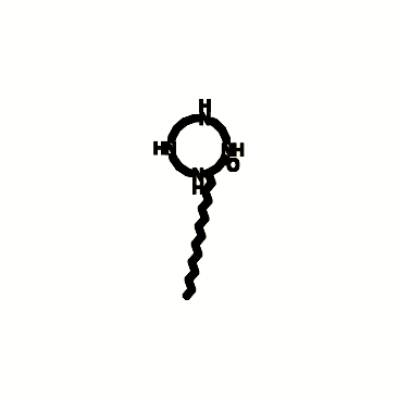 CCCCCCCCCCCCCCC1CC(=O)NCCCNCCCCNCCCN1